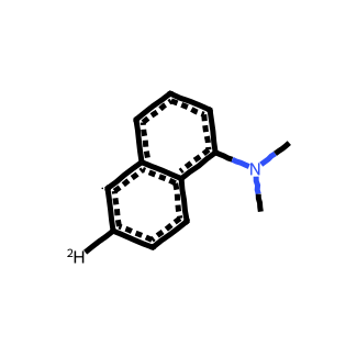 [2H]c1[c]c2cccc(N(C)C)c2cc1